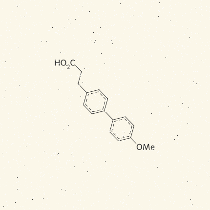 COc1ccc(-c2ccc(CCC(=O)O)cc2)cc1